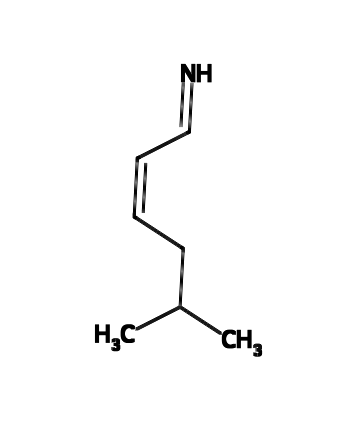 CC(C)C/C=C\C=N